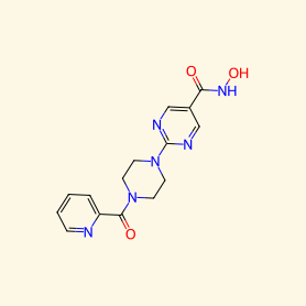 O=C(NO)c1cnc(N2CCN(C(=O)c3ccccn3)CC2)nc1